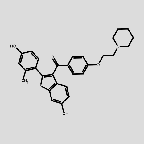 Cc1cc(O)ccc1-c1sc2cc(O)ccc2c1C(=O)c1ccc(OCCN2CCCCC2)cc1